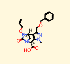 C=CCON1C(=O)N2C[C@H]1c1c(COCc3ccccc3)nn(C)c1[C@H]2C(=O)O